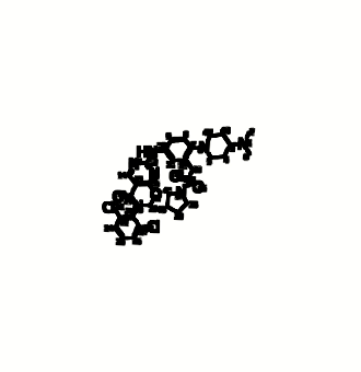 CN(C)C1CCN(c2ccc(Nc3ncc4c(n3)OCN(c3c(Cl)cccc3Cl)C4=O)cc2CS(=O)(=O)N2CCCC2)CC1